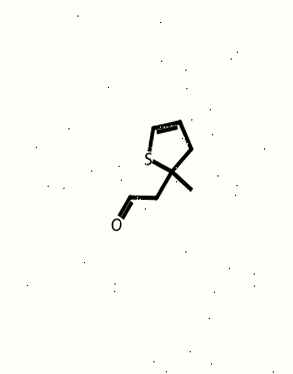 CC1(CC=O)CC=CS1